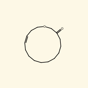 O=C1CCCCCCCCC/C=C\CCOC1